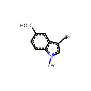 CCCn1cc(C(C)C)c2cc(C(=O)O)ccc21